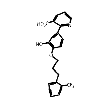 N#Cc1cc(-c2ncccc2C(=O)O)ccc1OCCCc1ccccc1C(F)(F)F